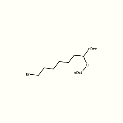 CCCCCCCCCCC(CCCCCCBr)OCCCCCCCC